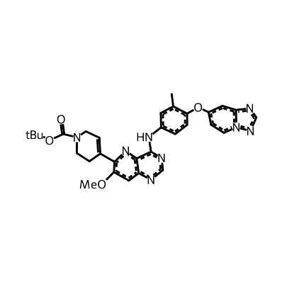 COc1cc2ncnc(Nc3ccc(Oc4ccn5ncnc5c4)c(C)c3)c2nc1C1=CCN(C(=O)OC(C)(C)C)CC1